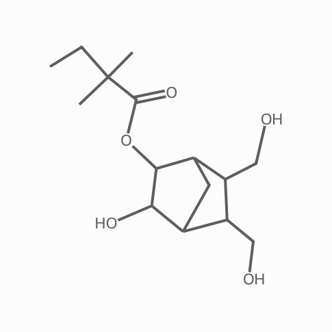 CCC(C)(C)C(=O)OC1C(O)C2CC1C(CO)C2CO